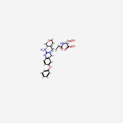 NC1=Nc2ccc(Oc3ccccc3)cc2CN1[C@@H](CCC(=O)N[C@H](CO)C(=O)O)C1CCOCC1